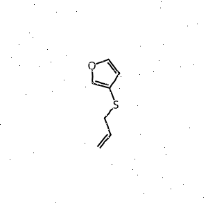 C=CCSc1ccoc1